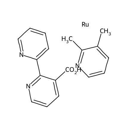 Cc1cccnc1C.O=C(O)c1cccnc1-c1ccccn1.[Ru]